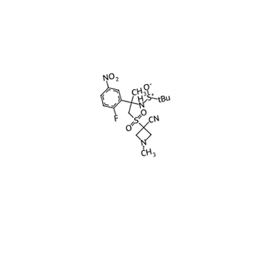 CN1CC(C#N)(S(=O)(=O)CC(C)(N[S+]([O-])C(C)(C)C)c2cc([N+](=O)[O-])ccc2F)C1